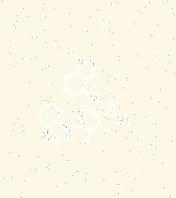 CCn1ncc2c(Nc3nc(N[C@@H]4CCCC[C@@H]4N)c(F)cc3C(N)=O)cccc21